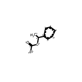 C[CH]C(=O)OC(C)c1ccccc1